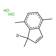 Cc1ccc(C)c2c1C=C[C]2(C)[Zr].Cl.Cl